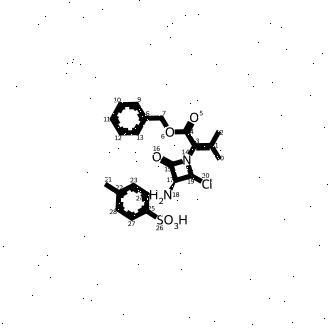 CC(C)=C(C(=O)OCc1ccccc1)N1C(=O)[C@H](N)C1Cl.Cc1ccc(S(=O)(=O)O)cc1